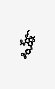 CCCOc1cc(OC(C)=O)c2cc(Sc3ccc([N+](=O)[O-])cc3)ccc2c1OC(C)=O